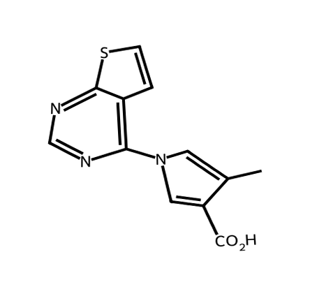 Cc1cn(-c2ncnc3sccc23)cc1C(=O)O